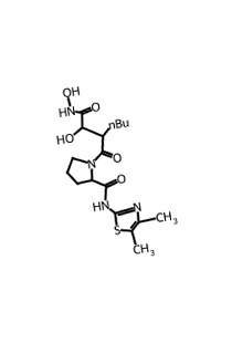 CCCCC(C(=O)N1CCCC1C(=O)Nc1nc(C)c(C)s1)C(O)C(=O)NO